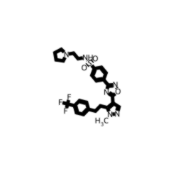 Cn1ncc(-c2nc(-c3ccc(S(=O)(=O)NCCN4CCCC4)cc3)no2)c1CCc1ccc(C(F)(F)F)cc1